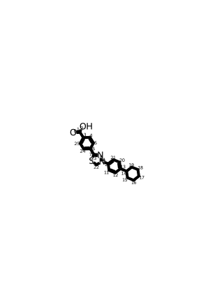 O=C(O)c1ccc(C2=NN(c3ccc(C4CCCCC4)cc3)CS2)cc1